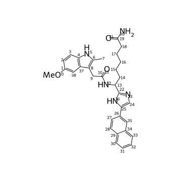 COc1ccc2[nH]c(C)c(CC(=O)NC(CCCCCC(N)=O)c3ncc(-c4ccc5ccccc5c4)[nH]3)c2c1